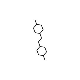 CC1CCC(CCC2CCC(C)CC2)CC1